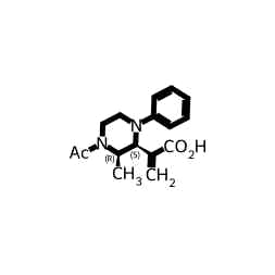 C=C(C(=O)O)[C@H]1[C@@H](C)N(C(C)=O)CCN1c1ccccc1